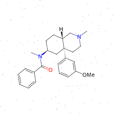 COc1cccc([C@@]23CCN(C)C[C@H]2CC[C@H](N(C)C(=O)c2ccccc2)C3)c1